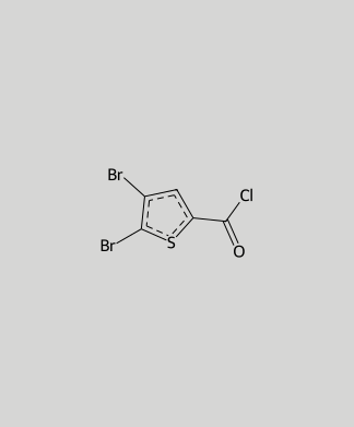 O=C(Cl)c1cc(Br)c(Br)s1